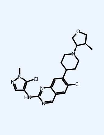 C[C@@H]1COC[C@@H]1N1CCC(c2cc3nc(Nc4cnn(C)c4Cl)ncc3cc2Cl)CC1